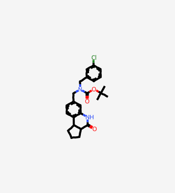 CC(C)(C)OC(=O)N(Cc1cccc(Cl)c1)Cc1ccc2c(c1)NC(=O)C1CCCC21